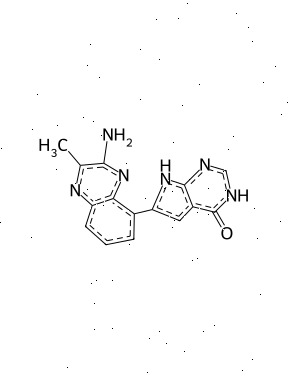 Cc1nc2cccc(-c3cc4c(=O)[nH]cnc4[nH]3)c2nc1N